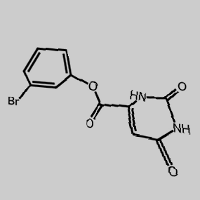 O=C(Oc1cccc(Br)c1)c1cc(=O)[nH]c(=O)[nH]1